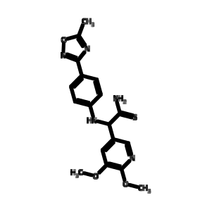 COc1cc(C(Nc2ccc(-c3noc(C)n3)cc2)C(N)=S)cnc1OC